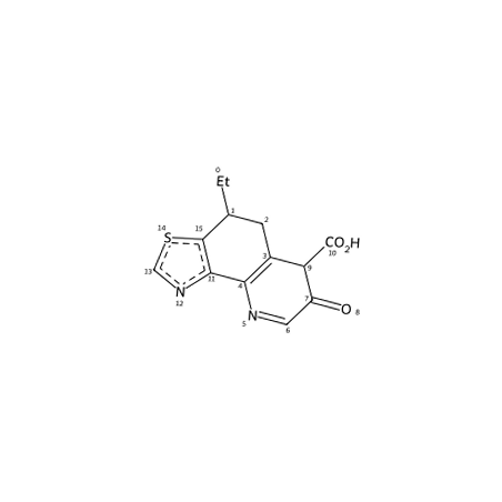 CCC1CC2=C(N=CC(=O)C2C(=O)O)c2ncsc21